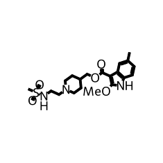 COc1[nH]c2ccc(C)cc2c1C(=O)OCC1CCN(CCNS(C)(=O)=O)CC1